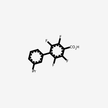 CC(C)c1cccc(-c2c(F)c(F)c(C(=O)O)c(F)c2F)c1